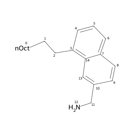 CCCCCCCCCCc1cccc2ccc(CN)cc12